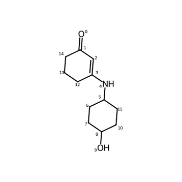 O=C1C=C(NC2CCC(O)CC2)CCC1